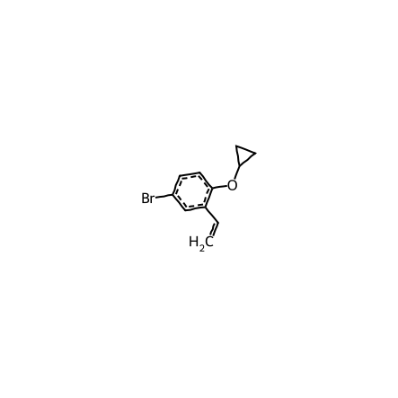 C=Cc1cc(Br)ccc1OC1CC1